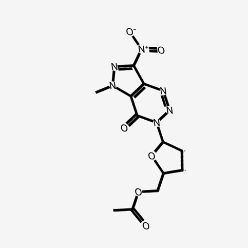 CC(=O)OCC1[CH][CH]C(n2nnc3c([N+](=O)[O-])nn(C)c3c2=O)O1